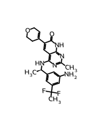 Cc1nc(N[C@H](C)c2cc(N)cc(C(C)(F)F)c2)c2cc(C3=CCOCC3)c(=O)[nH]c2n1